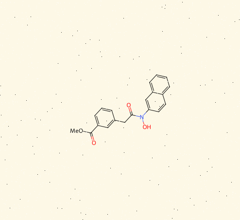 COC(=O)c1cccc(CC(=O)N(O)c2ccc3ccccc3c2)c1